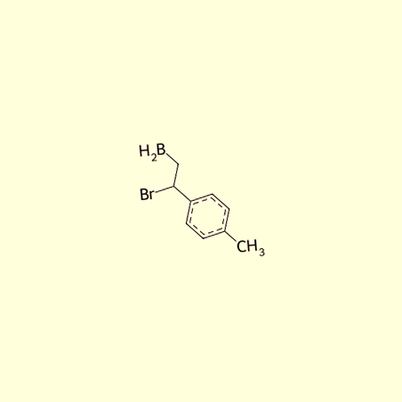 BCC(Br)c1ccc(C)cc1